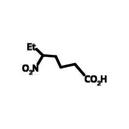 CCC(CCCC(=O)O)[N+](=O)[O-]